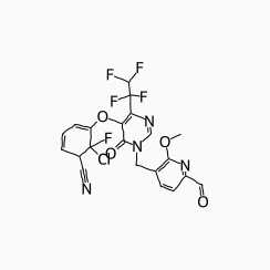 COc1nc(C=O)ccc1Cn1cnc(C(F)(F)C(F)F)c(OC2=CC=CC(C#N)C2(F)Cl)c1=O